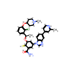 Cc1cc(-c2ccc3c(c2)ncn3C2=CC(O[C@H](C)c3cccc(OC4CCN(C)CC4)c3Cl)C(=S)C(C(N)=O)=C2)ccn1